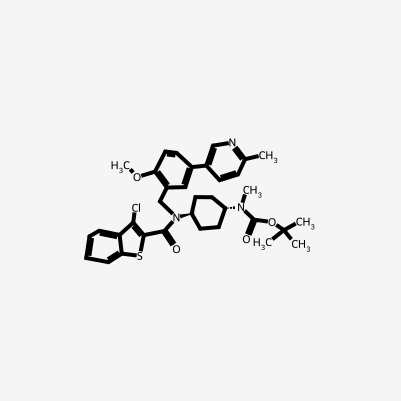 COc1ccc(-c2ccc(C)nc2)cc1CN(C(=O)c1sc2ccccc2c1Cl)[C@H]1CC[C@H](N(C)C(=O)OC(C)(C)C)CC1